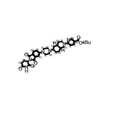 CC(C)(C)OC(=O)c1ccc(N2CC[C@@H]3CC(N4CCN(c5ccc6c(c5)C(=O)N(C5CCC(=O)NC5=O)C6=O)CC4)CC[C@@H]3C2)nc1